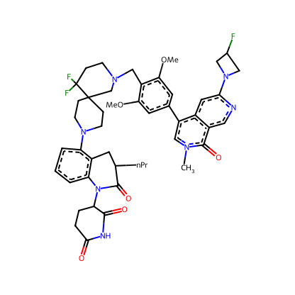 CCCC1Cc2c(N3CCC4(CC3)CN(Cc3c(OC)cc(-c5cn(C)c(=O)c6cnc(N7CC(F)C7)cc56)cc3OC)CCC4(F)F)cccc2N(C2CCC(=O)NC2=O)C1=O